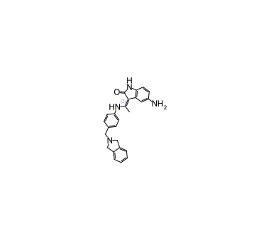 C/C(Nc1ccc(CN2Cc3ccccc3C2)cc1)=C1/C(=O)Nc2ccc(N)cc21